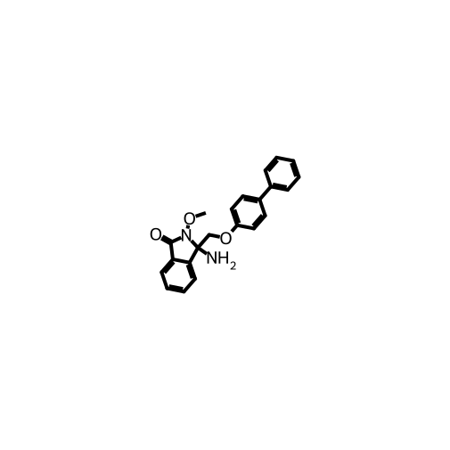 CON1C(=O)c2ccccc2C1(N)COc1ccc(-c2ccccc2)cc1